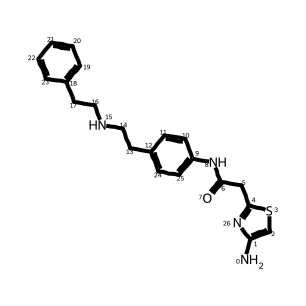 Nc1csc(CC(=O)Nc2ccc(CCNCCc3ccccc3)cc2)n1